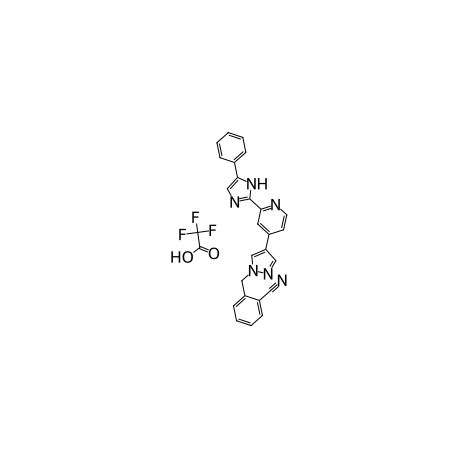 N#Cc1ccccc1Cn1cc(-c2ccnc(-c3ncc(-c4ccccc4)[nH]3)c2)cn1.O=C(O)C(F)(F)F